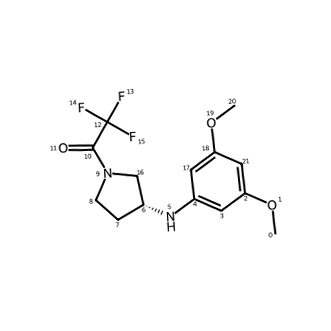 COc1cc(N[C@@H]2CCN(C(=O)C(F)(F)F)C2)cc(OC)c1